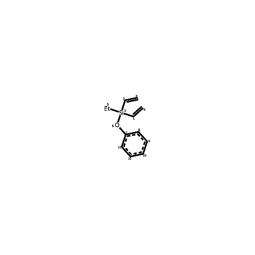 C=C[Si](C=C)(CC)Oc1ccccc1